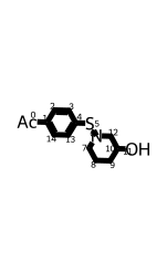 CC(=O)c1ccc(SN2CCCC(O)C2)cc1